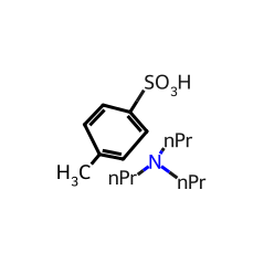 CCCN(CCC)CCC.Cc1ccc(S(=O)(=O)O)cc1